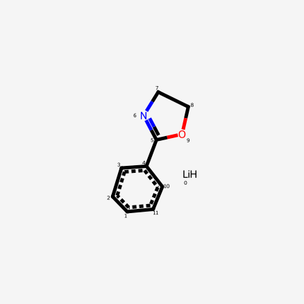 [LiH].c1ccc(C2=NCCO2)cc1